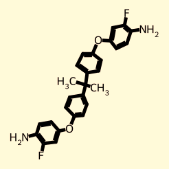 CC(C)(c1ccc(Oc2ccc(N)c(F)c2)cc1)c1ccc(Oc2ccc(N)c(F)c2)cc1